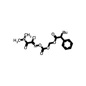 CCC(C)C(C(=O)OCOC(=O)ON=C(Cl)C(=O)N(C)C)c1ccccc1